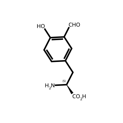 N[C@@H](Cc1ccc(O)c(C=O)c1)C(=O)O